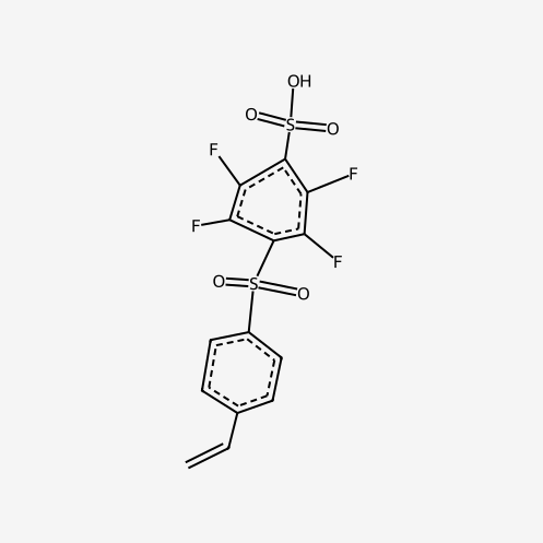 C=Cc1ccc(S(=O)(=O)c2c(F)c(F)c(S(=O)(=O)O)c(F)c2F)cc1